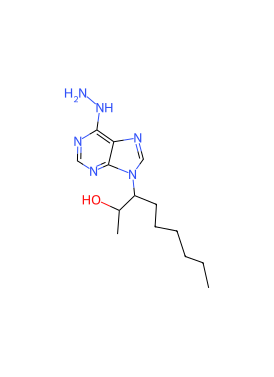 CCCCCCC(C(C)O)n1cnc2c(NN)ncnc21